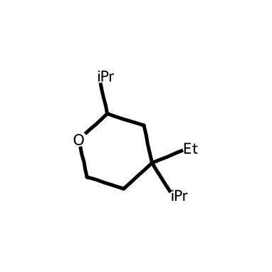 CCC1(C(C)C)CCOC(C(C)C)C1